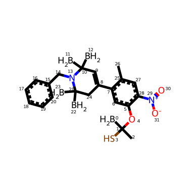 BC(C)(S)Oc1cc(C2=CC(B)(B)N(Cc3ccccc3)C(B)(B)C2)c(C)cc1[N+](=O)[O-]